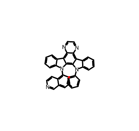 c1ccc(-n2c3ccccc3c3c4nccnc4c4c5ccccc5n(-c5cccc6cnccc56)c4c32)cc1